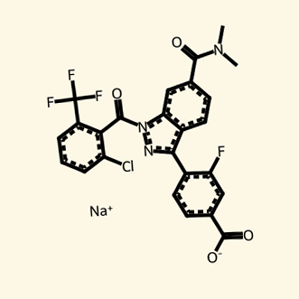 CN(C)C(=O)c1ccc2c(-c3ccc(C(=O)[O-])cc3F)nn(C(=O)c3c(Cl)cccc3C(F)(F)F)c2c1.[Na+]